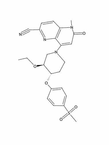 CCO[C@H]1CN(c2cc(=O)n(C)c3ccc(C#N)nc23)CC[C@@H]1Oc1ccc(S(C)(=O)=O)cc1